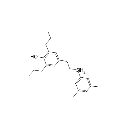 CCCc1cc(CC[SiH2]c2cc(C)cc(C)c2)cc(CCC)c1O